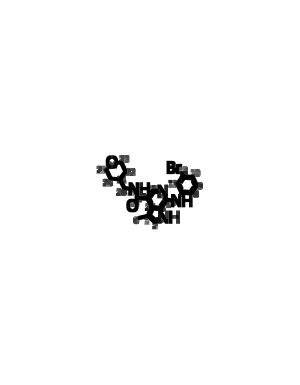 Cc1c[nH]c2c(Nc3cccc(Br)c3)ncc(C(=O)NCC3CCOCC3)c12